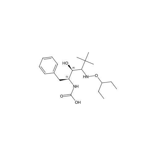 CCC(CC)ONC([C@H](O)[C@H](Cc1ccccc1)NC(=O)O)C(C)(C)C